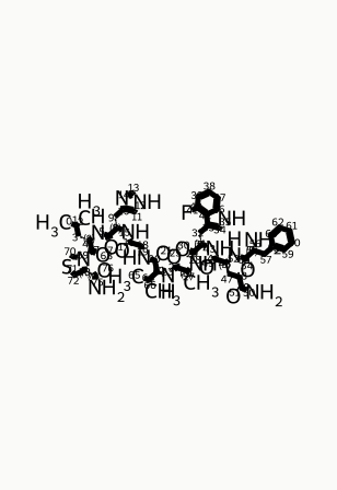 CC(C)C[C@H](NC(=O)[C@H](Cc1c[nH]cn1)NC(=O)CNC(=O)[C@@H](NC(=O)[C@H](C)NC(=O)[C@H](Cc1c[nH]c2cccc(F)c12)NC(=O)[C@H](CCC(N)=O)NC(=O)[C@H](N)Cc1ccccc1)C(C)C)C(=O)N1CSC[C@H]1C(N)=O